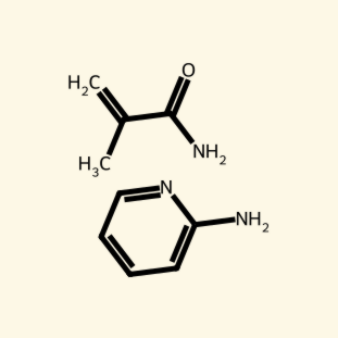 C=C(C)C(N)=O.Nc1ccccn1